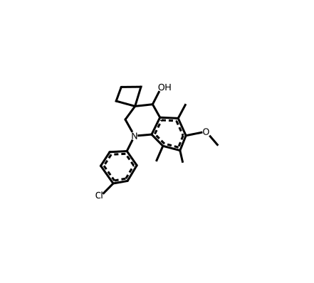 COc1c(C)c(C)c2c(c1C)C(O)C1(CCC1)CN2c1ccc(Cl)cc1